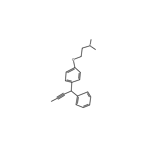 CC#CC(c1ccccc1)c1ccc(OCCN(C)C)cc1